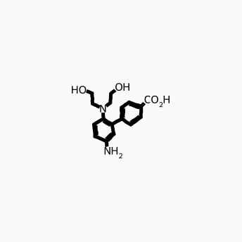 Nc1ccc(N(CCO)CCO)c(-c2ccc(C(=O)O)cc2)c1